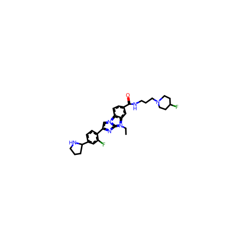 CCn1c2cc(C(=O)NCCCN3CCC(F)CC3)ccc2n2cc(-c3ccc(C4CCCN4)cc3F)nc12